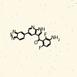 Nc1ccc(F)c(C(=O)c2c[nH]c3ncc(-c4ccc5nsnc5c4)cc23)c1F